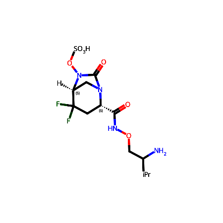 CC(C)C(N)CONC(=O)[C@@H]1CC(F)(F)[C@@H]2CN1C(=O)N2OS(=O)(=O)O